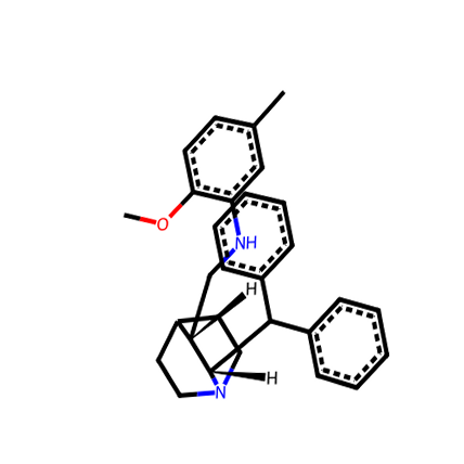 COc1ccc(C)cc1NC[C@H]1C2CCN(CC2)[C@H]1C(c1ccccc1)c1ccccc1